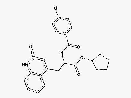 O=C(NC(Cc1cc(=O)[nH]c2ccccc12)C(=O)OC1CCCC1)c1ccc(Cl)cc1